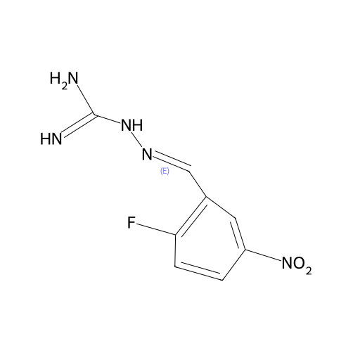 N=C(N)N/N=C/c1cc([N+](=O)[O-])ccc1F